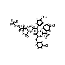 COc1ccc(C(NC(=O)C(Cc2cccc(Cl)c2)NC(=O)C2(c3cccc(Cl)c3)CC2)C(=O)N[C@H](C(=O)C(F)(F)C(=O)NCC(F)(F)F)C(C)C)cc1